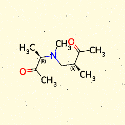 CC(=O)[C@@H](C)N(C)C[C@H](C)C(C)=O